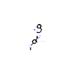 COc1cc(-c2nc(C)no2)ccc1-c1cn(C2CCc3c(F)cccc3N(CC(F)(F)F)C2=O)nn1